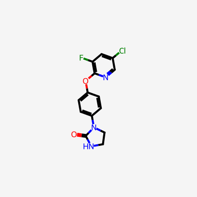 O=C1NCCN1c1ccc(Oc2ncc(Cl)cc2F)cc1